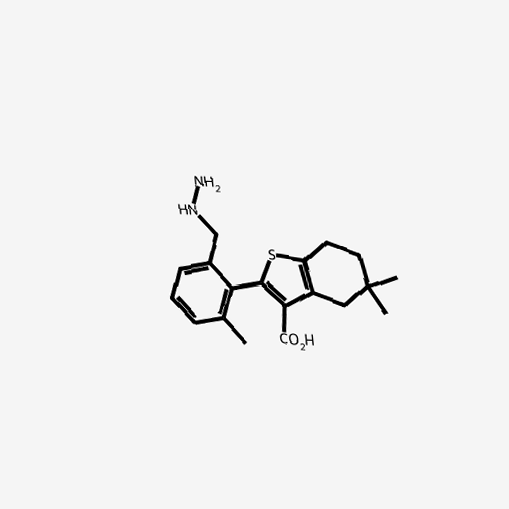 Cc1cccc(CNN)c1-c1sc2c(c1C(=O)O)CC(C)(C)CC2